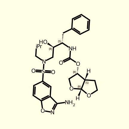 CC(C)CN(C[C@@H](O)[C@H](Cc1ccccc1)NC(=O)O[C@H]1CO[C@H]2OCC[C@H]21)S(=O)(=O)c1ccc2onc(N)c2c1